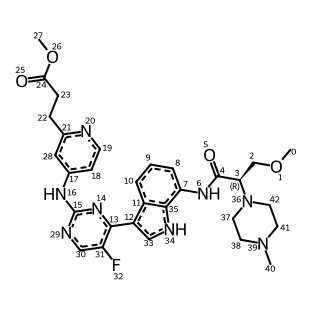 COC[C@H](C(=O)Nc1cccc2c(-c3nc(Nc4ccnc(CCC(=O)OC)c4)ncc3F)c[nH]c12)N1CCN(C)CC1